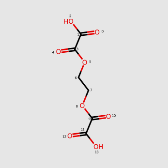 O=C(O)C(=O)OCCOC(=O)C(=O)O